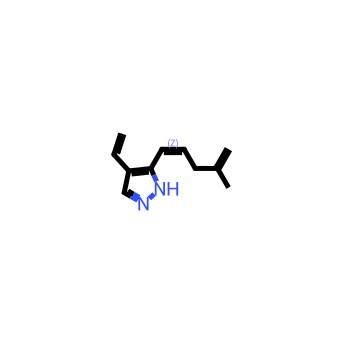 C=Cc1cn[nH]c1/C=C\CC(=C)C